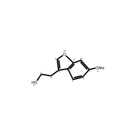 COc1ccc2c(CCO)coc2c1